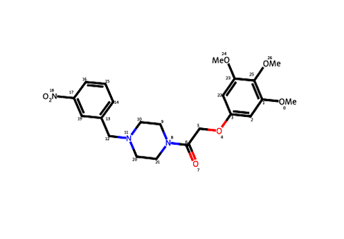 COc1cc(OCC(=O)N2CCN(Cc3cccc([N+](=O)[O-])c3)CC2)cc(OC)c1OC